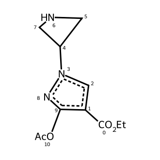 CCOC(=O)c1cn(C2CNC2)nc1OC(C)=O